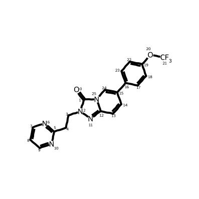 O=c1n(CCc2ncccn2)nc2ccc(-c3ccc(OC(F)(F)F)cc3)cn12